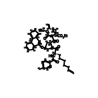 C=CCCCCC[C@H](NC(=O)c1cnc(C)cn1)C(=O)N1C[C@H](Oc2nc3ccccc3c3ccccc23)C[C@H]1C(=O)N(C(=O)OC(C)(C)C)[C@]1(C(=O)OCC)C[C@H]1C=C